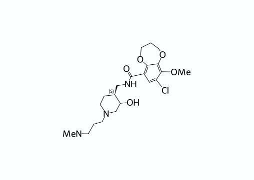 CNCCCN1CC[C@@H](CNC(=O)c2cc(Cl)c(OC)c3c2OCCCO3)C(O)C1